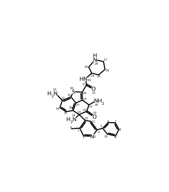 Cc1cnc(-c2ccccc2)cc1C1(N)C(=O)C(N)c2c(C(=O)NC3CCCNC3)sc3c(N)ccc1c23